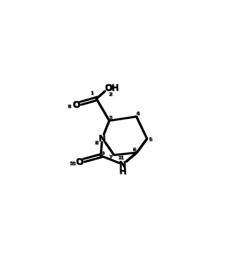 O=C(O)C1CCC2CN1C(=O)N2